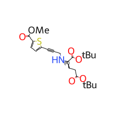 COC(=O)c1ccc(C#CCN[C@H](CCC(=O)OC(C)(C)C)C(=O)OC(C)(C)C)s1